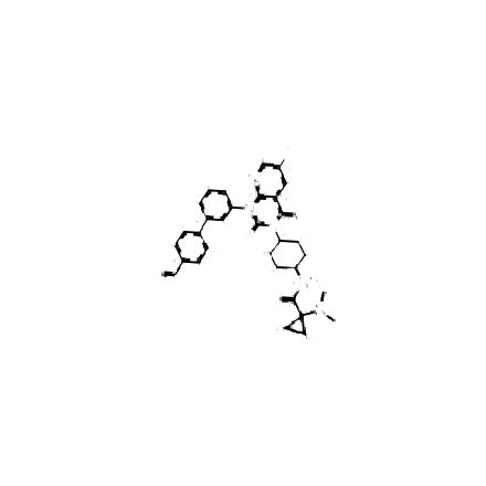 CN(C)C1(C(=O)NC2CCC(n3c(=O)c4cc(F)cnc4n(-c4cccc(-c5ccc(C=O)cc5)c4)c3=O)CC2)CC1